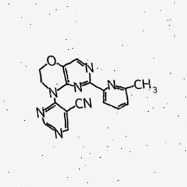 Cc1cccc(-c2ncc3c(n2)N(c2ncncc2C#N)CCO3)n1